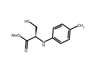 COC(=O)[C@@H](CS)Nc1ccc(C)cc1